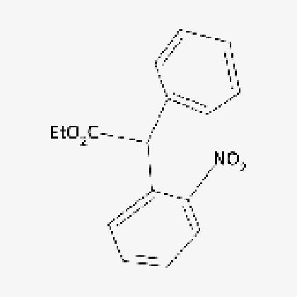 CCOC(=O)C(c1ccccc1)c1ccccc1[N+](=O)[O-]